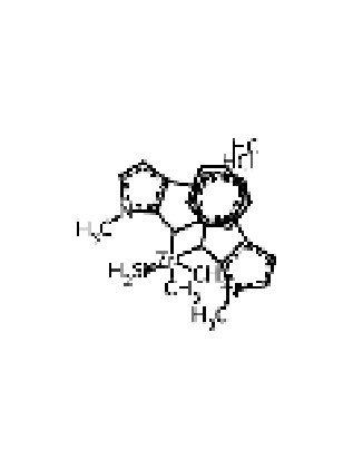 Cl.Cl.Cn1ccc2c1[CH]([Zr]([CH3])([CH3])(=[SiH2])[CH]1c3ccccc3-c3ccn(C)c31)c1ccccc1-2